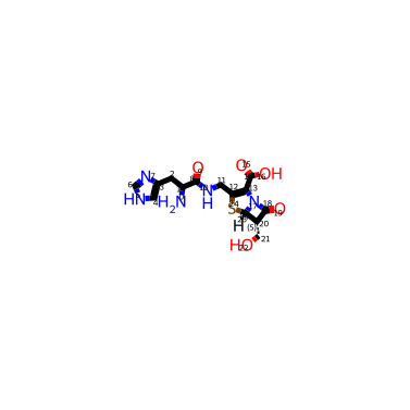 NC(Cc1c[nH]cn1)C(=O)NCC1=C(C(=O)O)N2C(=O)[C@H](CO)[C@H]2S1